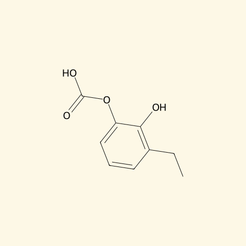 CCc1cccc(OC(=O)O)c1O